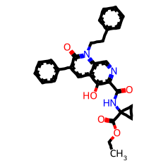 CCOC(=O)C1(NC(=O)c2ncc3c(cc(-c4ccccc4)c(=O)n3CCc3ccccc3)c2O)CC1